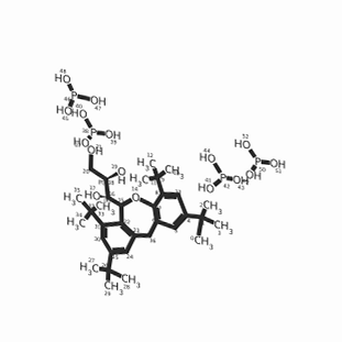 CC(C)(C)c1cc2c(c(C(C)(C)C)c1)OC([C@H](O)[C@H](O)CO)c1c(cc(C(C)(C)C)cc1C(C)(C)C)C2.OP(O)O.OP(O)O.OP(O)O.OP(O)O